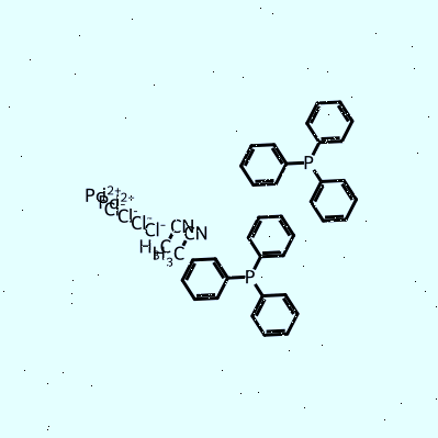 CC#N.CC#N.[Cl-].[Cl-].[Cl-].[Cl-].[Pd+2].[Pd+2].c1ccc(P(c2ccccc2)c2ccccc2)cc1.c1ccc(P(c2ccccc2)c2ccccc2)cc1